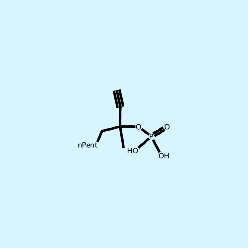 C#CC(C)(CCCCCC)OP(=O)(O)O